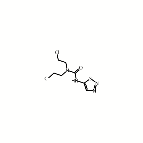 O=C(Nc1cnns1)N(CCCl)CCCl